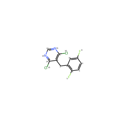 Fc1ccc(F)c(Cc2c(Cl)ncnc2Cl)c1